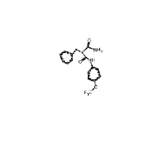 NC(=O)N(Cc1ccccc1)C(=O)Nc1ccc(OC(F)(F)F)cc1